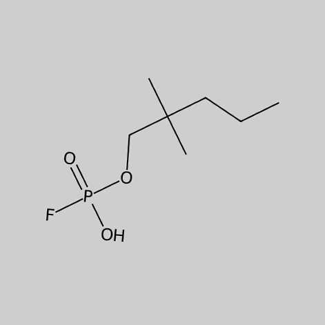 CCCC(C)(C)COP(=O)(O)F